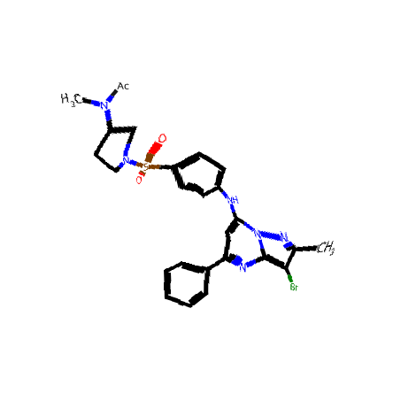 CC(=O)N(C)C1CCN(S(=O)(=O)c2ccc(Nc3cc(-c4ccccc4)nc4c(Br)c(C)nn34)cc2)C1